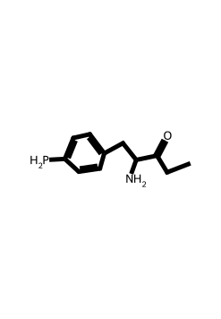 CCC(=O)C(N)Cc1ccc(P)cc1